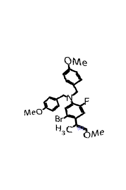 CO/C=C(\C)c1cc(F)c(N(Cc2ccc(OC)cc2)Cc2ccc(OC)cc2)cc1Br